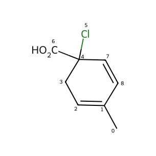 CC1=CCC(Cl)(C(=O)O)C=C1